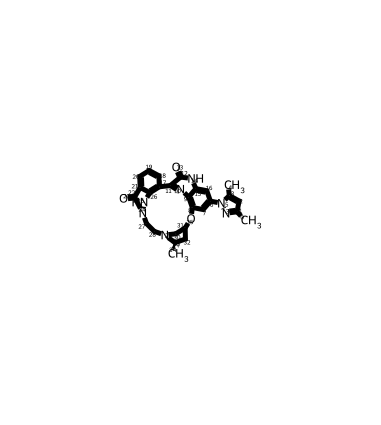 Cc1cc(C)n(-c2cc3c4nc(c(=O)[nH]c4c2)-c2cccc4c(=O)n([nH]c24)CCN2CC(C[C@H]2C)O3)n1